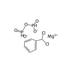 ClC(Cl)c1ccccc1.O=[PH]([O-])O[PH](=O)[O-].[Mg+2]